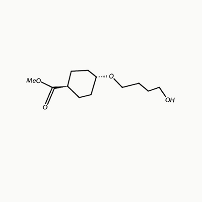 COC(=O)[C@H]1CC[C@H](OCCCCO)CC1